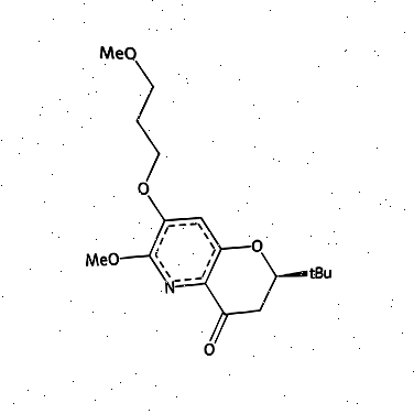 COCCCOc1cc2c(nc1OC)C(=O)C[C@H](C(C)(C)C)O2